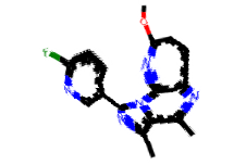 COc1ccc2nc(C)c3c(C)nc(-c4ccc(F)nc4)n3c2n1